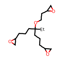 CCC(CCCC1CO1)(CCCC1CO1)OCCC1CO1